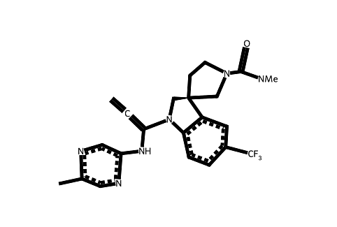 C=C=C(Nc1cnc(C)cn1)N1C[C@]2(CCN(C(=O)NC)C2)c2cc(C(F)(F)F)ccc21